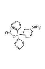 CC(=O)OC(c1ccccc1)(c1ccccc1)c1ccccc1.[SnH2]